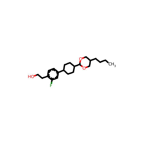 CCCCC1COC(C2CCC(c3ccc(CCO)c(F)c3)CC2)OC1